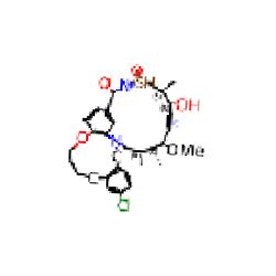 CO[C@H]1/C=C/[C@H](O)[C@H](C)C/[SH](=O)=N\C(=O)c2ccc3c(c2)N(Cc2ccc(Cl)cc2CCCCO3)C[C@H](C)[C@H]1C